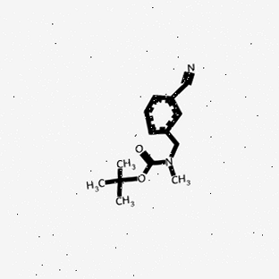 CN(Cc1cccc(C#N)c1)C(=O)OC(C)(C)C